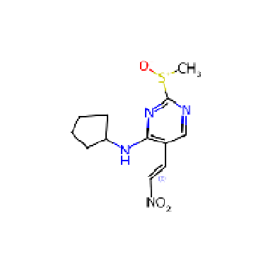 C[S+]([O-])c1ncc(/C=C/[N+](=O)[O-])c(NC2CCCC2)n1